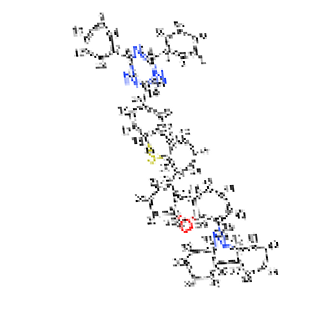 c1ccc(-c2nc(-c3ccccc3)nc(-c3ccc4sc5c(-c6cccc7oc8c(-n9c%10ccccc%10c%10ccccc%109)cccc8c67)cccc5c4c3)n2)cc1